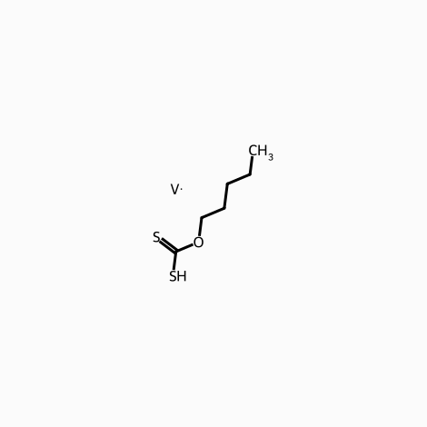 CCCCCOC(=S)S.[V]